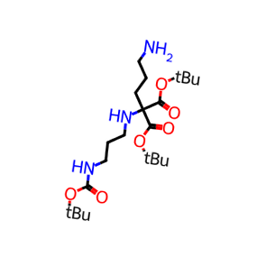 CC(C)(C)OC(=O)NCCCNC(CCCN)(C(=O)OC(C)(C)C)C(=O)OC(C)(C)C